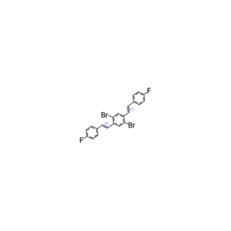 Fc1ccc(/C=C/c2cc(Br)c(/C=C/c3ccc(F)cc3)cc2Br)cc1